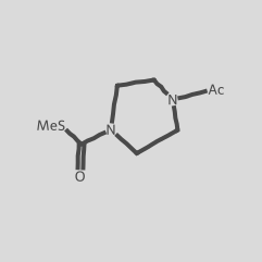 CSC(=O)N1CCN(C(C)=O)CC1